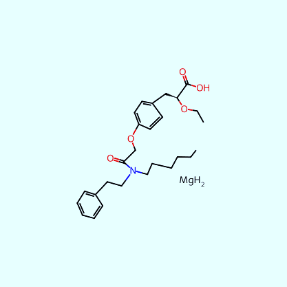 CCCCCCN(CCc1ccccc1)C(=O)COc1ccc(C[C@H](OCC)C(=O)O)cc1.[MgH2]